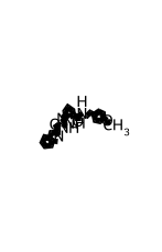 COc1ccc(CCNC(=O)c2cccc3nc(NC(=O)c4cc5ccccc5cn4)[nH]c23)cc1